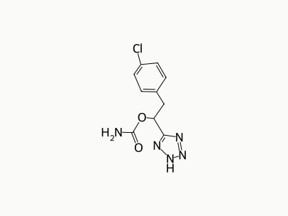 NC(=O)OC(Cc1ccc(Cl)cc1)c1nn[nH]n1